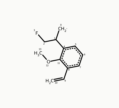 [CH2]C(CF)c1cccc(C=C)c1OC